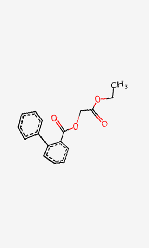 CCOC(=O)COC(=O)c1ccccc1-c1ccccc1